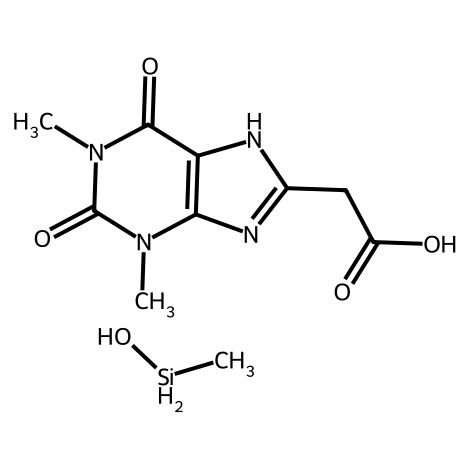 C[SiH2]O.Cn1c(=O)c2[nH]c(CC(=O)O)nc2n(C)c1=O